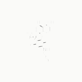 CC(C)CCNC1=CC(=O)C(O)=C(CC2(C)C(C)CC=C3C2CCCC3(C)C)C1=O